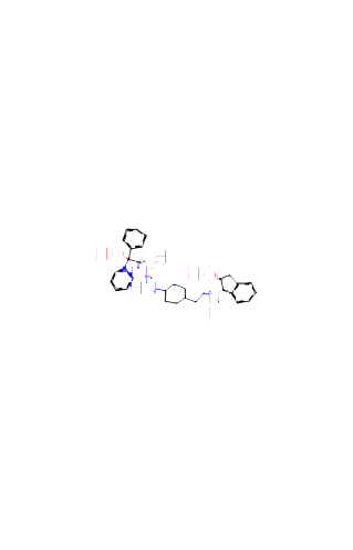 C[C@@H](NC(=O)NC1CCC(CCN[C@H]2c3ccccc3C[C@H]2O)CC1)C(O)(c1ccccc1)c1ccccc1